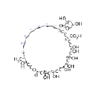 CC1/C=C/C=C/C=C/C=C/C=C/C=C/C=C/[C@H](O[C@@H]2OC[C@@H](O)C[C@H]2O)CC[C@H](C(=O)O)CCC(O)(O)C[C@@H](O)C[C@@H](O)[C@H](O)CC[C@@H](O)C[C@@H](O)CC(=O)OCC[C@@H]1O